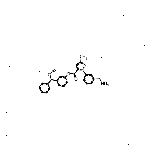 CCCOC(c1ccccc1)c1cccc(NC(=O)c2cc(C)nn2-c2cccc(CN)c2)c1